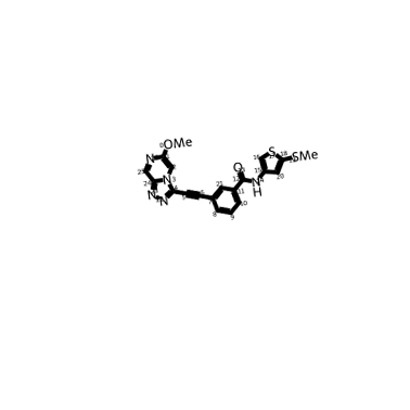 COc1cn2c(C#Cc3cccc(C(=O)Nc4csc(SC)c4)c3)nnc2cn1